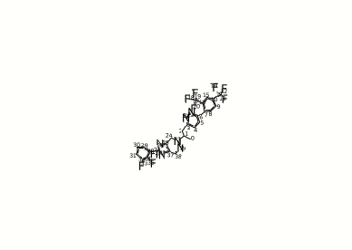 CC(Cc1ccc(-c2ccc(C(F)(F)F)cc2C(F)(F)F)nn1)N1Cc2nc(-c3cccc(F)c3F)[nH]c2C=N1